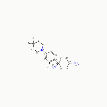 Cc1cc(N2CCC(C)(C)CC2)ccc1C1(N)CCC(N)CC1